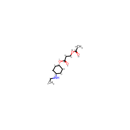 CCN[C@H]1CC[C@H](OC(=O)CCOC(C)=O)CC1